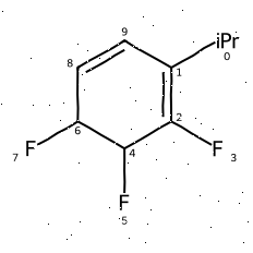 CC(C)C1=C(F)C(F)C(F)C=C1